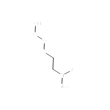 CCC(C)N(CCSOOO)C(C)=O